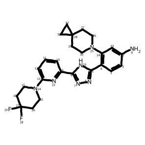 Nc1ccc(-c2nnc(-c3cccc(N4CCC(F)(F)CC4)n3)[nH]2)c(N2CCC3(CC2)CC3)c1